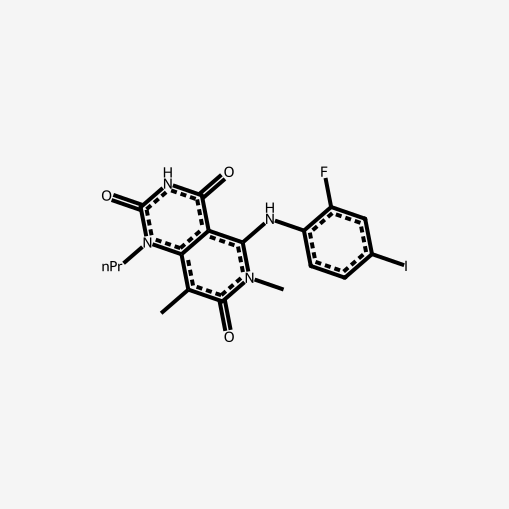 CCCn1c(=O)[nH]c(=O)c2c(Nc3ccc(I)cc3F)n(C)c(=O)c(C)c21